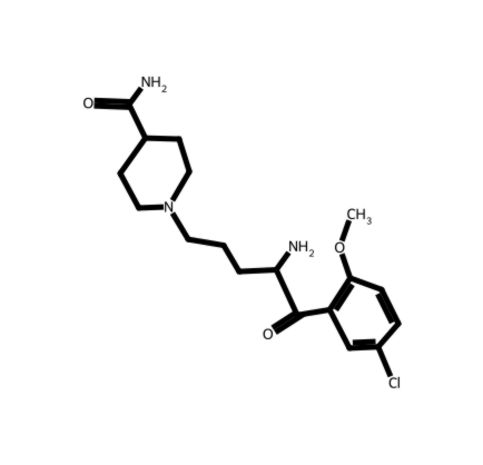 COc1ccc(Cl)cc1C(=O)C(N)CCCN1CCC(C(N)=O)CC1